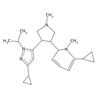 CC(C)n1nc(C2CC2)cc1C1CN(C)CC1C1C=CC=C(C2CC2)N1C